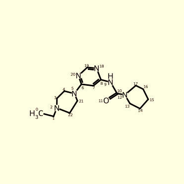 CCN1CCN(c2cc(NC(=O)N3CCCCC3)ncn2)CC1